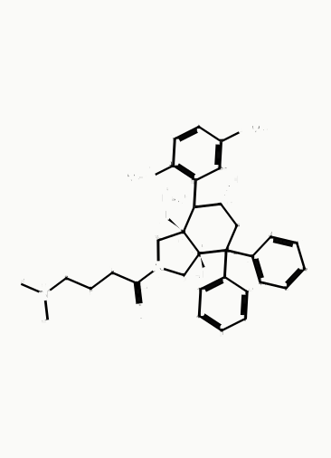 COc1ccc(OC)c([C@@]2(O)[C@H](O)CC(c3ccccc3)(c3ccccc3)[C@@H]3CN(C(=O)CCCN(C)C)C[C@@H]32)c1